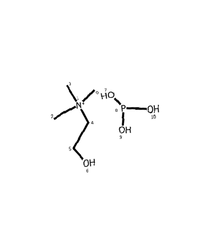 C[N+](C)(C)CCO.OP(O)O